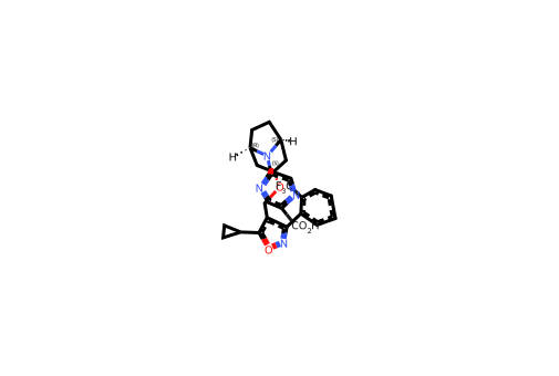 O=C(O)c1cnc(N2[C@@H]3CC[C@H]2C[C@H](OCc2c(-c4ccccc4C(F)(F)F)noc2C2CC2)C3)cn1